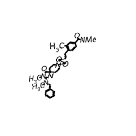 CNC(=O)c1ccc(CCS(=O)(=O)N2CCC3(CC2)N=C(N(C)Cc2ccccc2)N(C)C3=O)c(C)c1